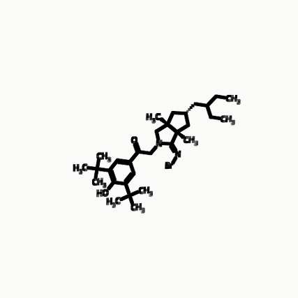 CCC(CC)C[C@H]1C[C@@]2(C)CN(CC(=O)c3cc(C(C)(C)C)c(O)c(C(C)(C)C)c3)/C(=N\Br)[C@@]2(C)C1